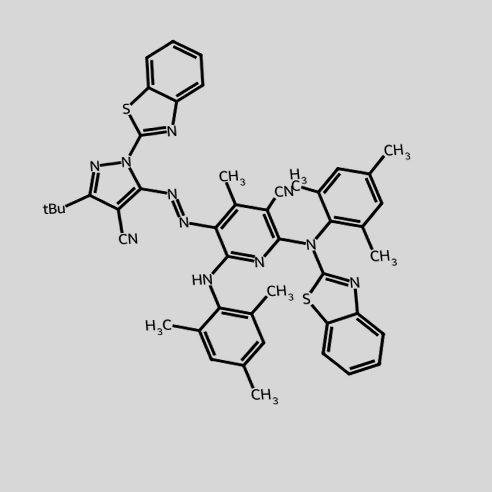 Cc1cc(C)c(Nc2nc(N(c3nc4ccccc4s3)c3c(C)cc(C)cc3C)c(C#N)c(C)c2N=Nc2c(C#N)c(C(C)(C)C)nn2-c2nc3ccccc3s2)c(C)c1